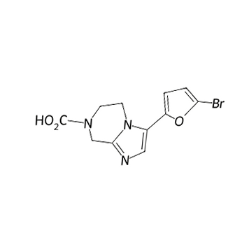 O=C(O)N1CCn2c(-c3ccc(Br)o3)cnc2C1